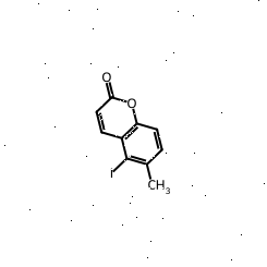 Cc1ccc2oc(=O)ccc2c1I